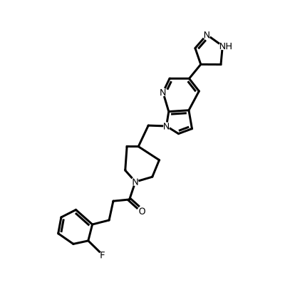 O=C(CCC1=CC=CCC1F)N1CCC(Cn2ccc3cc(C4C=NNC4)cnc32)CC1